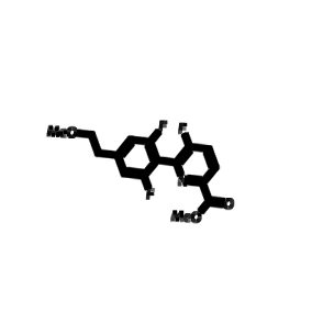 COCCc1cc(F)c(-c2nc(C(=O)OC)ccc2F)c(F)c1